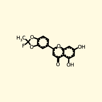 CC1(F)Oc2ccc(-c3cc(=O)c4c(O)cc(O)cc4o3)cc2O1